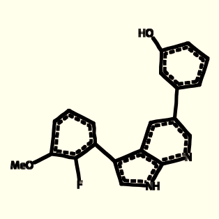 COc1cccc(-c2c[nH]c3ncc(-c4cccc(O)c4)cc23)c1F